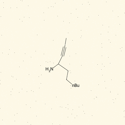 CC#CC(N)CCCCCC